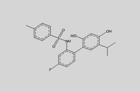 Cc1ccc(S(=O)(=O)Nc2cc(F)ccc2-c2cc(C(C)C)c(O)cc2O)cc1